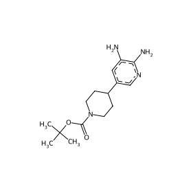 CC(C)(C)OC(=O)N1CCC(c2cnc(N)c(N)c2)CC1